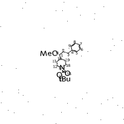 CO[C@H](CCc1ccccc1)C1CCN(C(=O)OC(C)(C)C)CC1